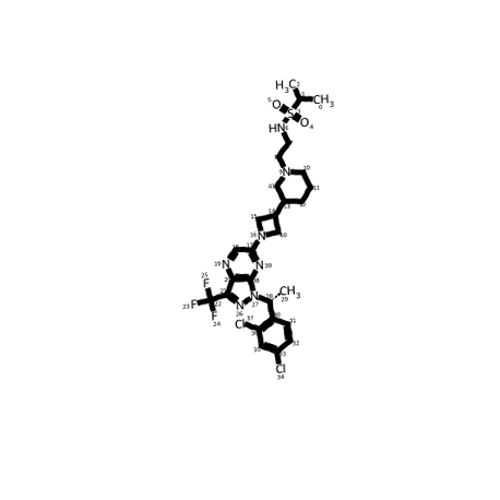 CC(C)S(=O)(=O)NCCN1CCCC(C2CN(c3cnc4c(C(F)(F)F)nn([C@H](C)c5ccc(Cl)cc5Cl)c4n3)C2)C1